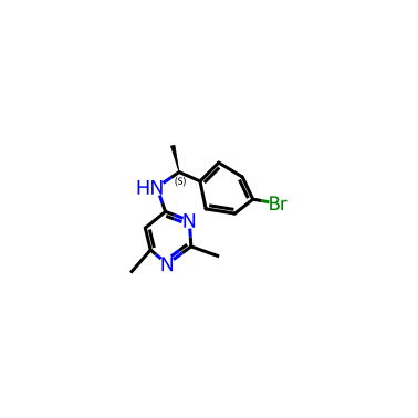 Cc1cc(N[C@@H](C)c2ccc(Br)cc2)nc(C)n1